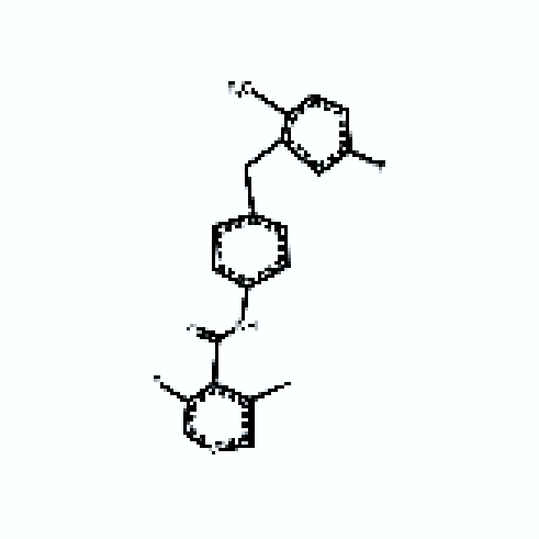 O=C(Nc1ccc(Cc2cc(F)ccc2C(F)(F)F)cc1)c1c(F)cncc1F